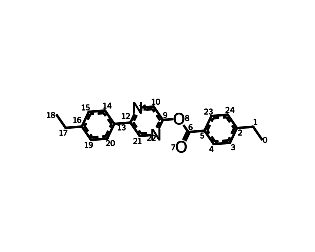 CCc1ccc(C(=O)Oc2cnc(-c3ccc(CC)cc3)cn2)cc1